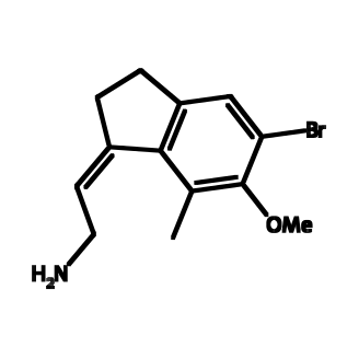 COc1c(Br)cc2c(c1C)/C(=C\CN)CC2